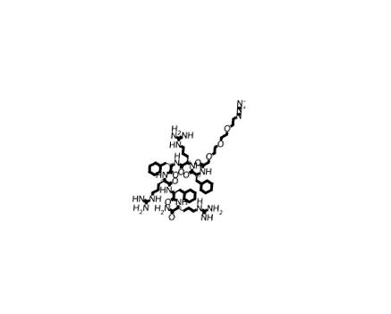 [N-]=[N+]=NCCOCCOCCOCC(=O)N[C@@H](CC1CCCCC1)C(=O)N[C@H](CCCNC(=N)N)C(=O)N[C@@H](CC1CCCCC1)C(=O)N[C@H](CCCNC(=N)N)C(=O)N[C@@H](CC1CCCCC1)C(=O)N[C@H](CCCNC(=N)N)C(N)=O